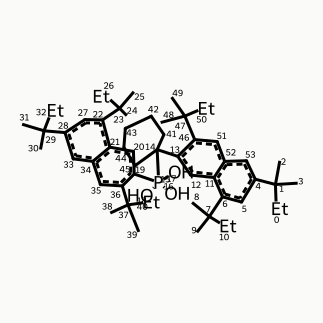 CCC(C)(C)c1cc(C(C)(C)CC)c2cc(C3(P(O)(O)(O)c4cc5c(C(C)(C)CC)cc(C(C)(C)CC)cc5cc4C(C)(C)CC)CCCCC3)c(C(C)(C)CC)cc2c1